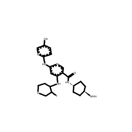 CC(=O)N[C@H]1CC[C@H](NC(=O)c2cnc(Nc3ccc(C#N)cn3)cc2NC2CCOCC2F)CC1